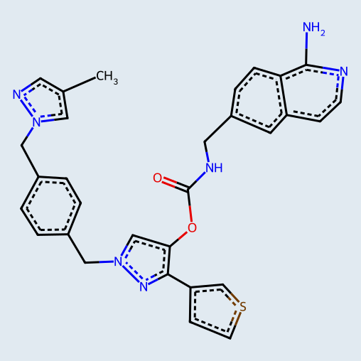 Cc1cnn(Cc2ccc(Cn3cc(OC(=O)NCc4ccc5c(N)nccc5c4)c(-c4ccsc4)n3)cc2)c1